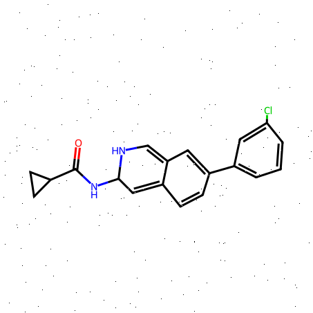 O=C(NC1C=c2ccc(-c3cccc(Cl)c3)cc2=CN1)C1CC1